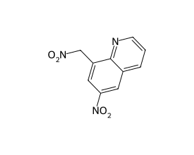 O=[N+]([O-])Cc1cc([N+](=O)[O-])cc2cccnc12